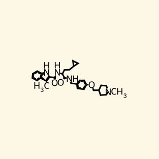 Cc1c(C(=O)NC(CCC2CC2)C(=O)NCc2ccc(OCC3CCN(C)CC3)cc2)[nH]c2ccccc12